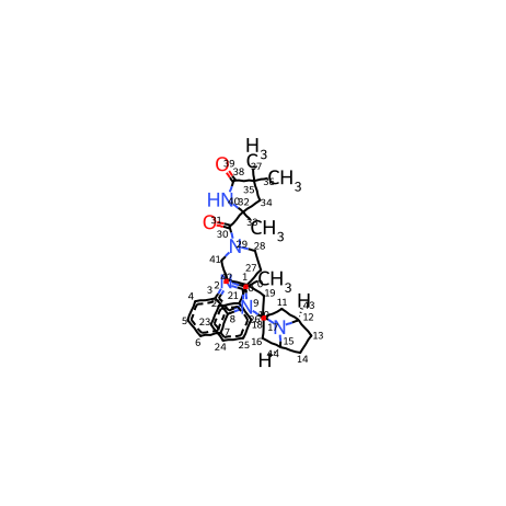 Cc1nc2ccccc2n1C1C[C@H]2CC[C@@H](C1)N2CCC1(c2ccccc2)CCN(C(=O)C2(C)CC(C)(C)C(=O)N2)CC1